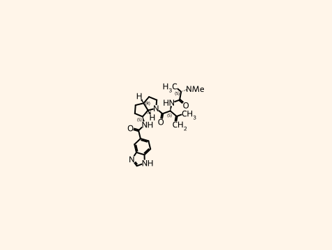 C=C(C)[C@H](NC(=O)[C@H](C)NC)C(=O)N1CC[C@H]2CC[C@H](NC(=O)c3ccc4[nH]cnc4c3)[C@H]21